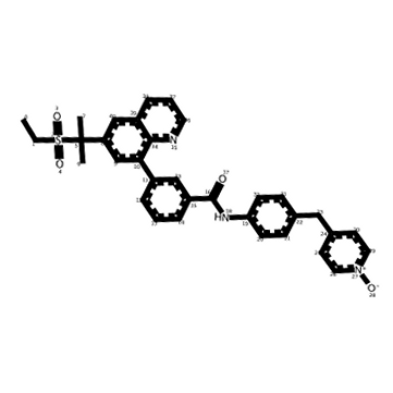 CCS(=O)(=O)C(C)(C)c1cc(-c2cccc(C(=O)Nc3ccc(Cc4cc[n+]([O-])cc4)cc3)c2)c2ncccc2c1